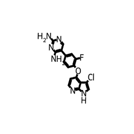 Nc1ncc(-c2ccc(Oc3ccnc4[nH]cc(Cl)c34)c(F)c2)c(N)n1